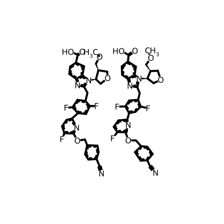 COC[C@H]1COC[C@H]1n1c(Cc2cc(F)c(-c3ccc(F)c(OCc4ccc(C#N)cc4)n3)cc2F)nc2ccc(C(=O)O)cc21.COC[C@H]1COC[C@H]1n1c(Cc2cc(F)c(-c3ccc(F)c(OCc4ccc(C#N)cc4)n3)cc2F)nc2ccc(C(=O)O)cc21